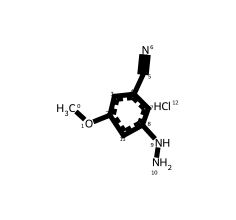 COc1cc(C#N)cc(NN)c1.Cl